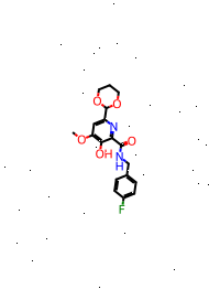 COc1cc(C2OCCCO2)nc(C(=O)NCc2ccc(F)cc2)c1O